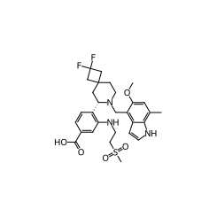 COc1cc(C)c2[nH]ccc2c1CN1CCC2(C[C@H]1c1ccc(C(=O)O)cc1NCCS(C)(=O)=O)CC(F)(F)C2